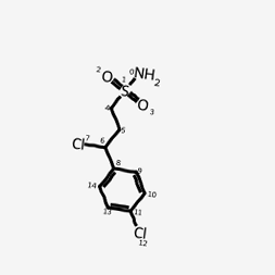 NS(=O)(=O)CCC(Cl)c1ccc(Cl)cc1